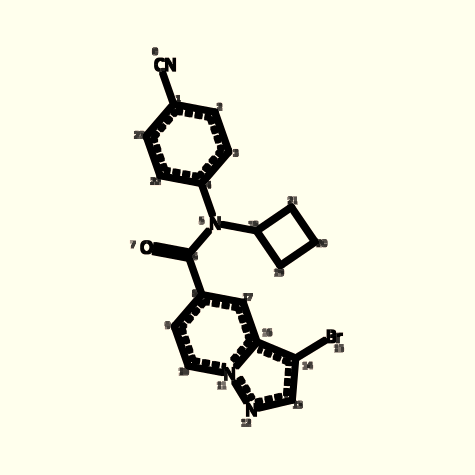 N#Cc1ccc(N(C(=O)c2ccn3ncc(Br)c3c2)C2CCC2)cc1